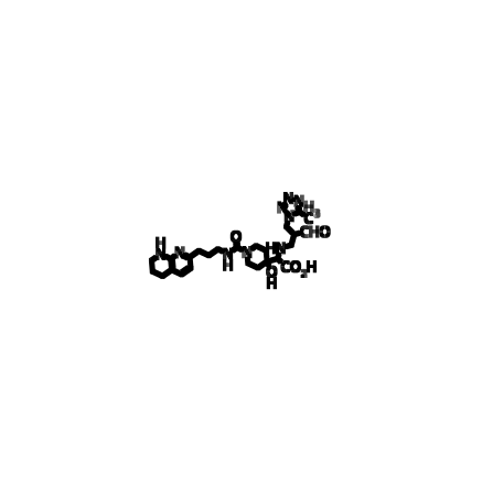 Cc1nnnn1CC(C=O)CNC(C(=O)O)C1(O)CCN(C(=O)NCCCc2ccc3c(n2)NCCC3)CC1